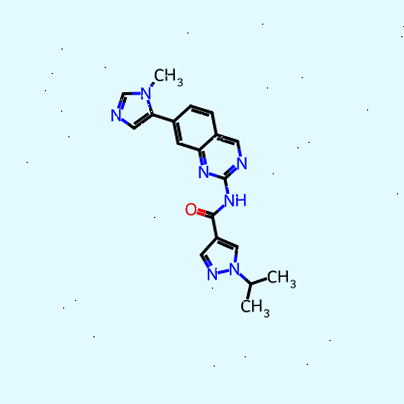 CC(C)n1cc(C(=O)Nc2ncc3ccc(-c4cncn4C)cc3n2)cn1